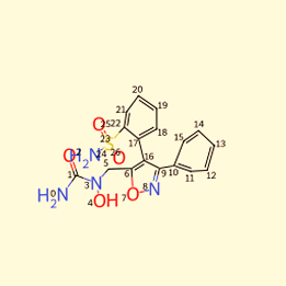 NC(=O)N(O)Cc1onc(-c2ccccc2)c1-c1ccccc1S(N)(=O)=O